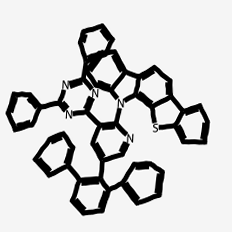 c1ccc(-c2nc(-c3ccccc3)nc(-c3cc(-c4c(-c5ccccc5)cccc4-c4ccccc4)cnc3-n3c4ccccc4c4ccc5c6ccccc6sc5c43)n2)cc1